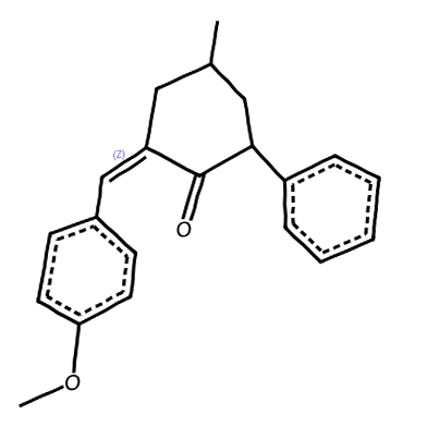 COc1ccc(/C=C2/CC(C)CC(c3ccccc3)C2=O)cc1